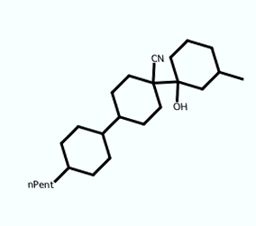 CCCCCC1CCC(C2CCC(C#N)(C3(O)CCCC(C)C3)CC2)CC1